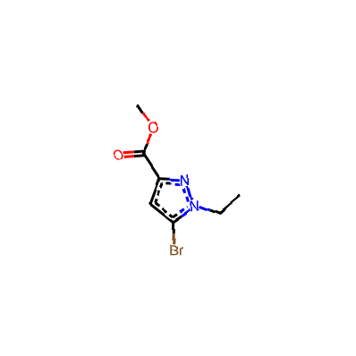 CCn1nc(C(=O)OC)cc1Br